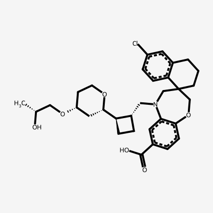 C[C@@H](O)CO[C@@H]1CCO[C@H]([C@@H]2CC[C@H]2CN2CC3(CCCc4cc(Cl)ccc43)COc3ccc(C(=O)O)cc32)C1